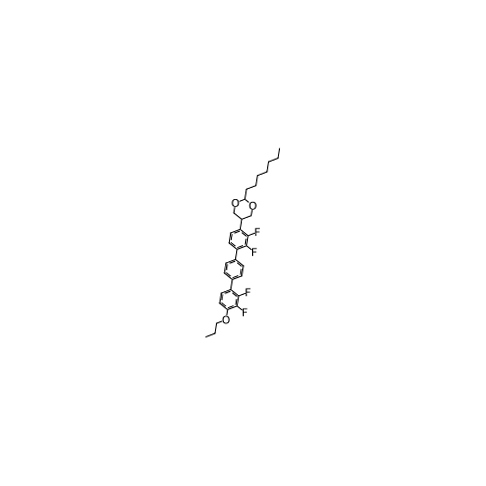 CCCCCCCC1OCC(c2ccc(-c3ccc(-c4ccc(OCCC)c(F)c4F)cc3)c(F)c2F)CO1